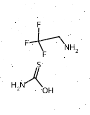 NC(O)=S.NCC(F)(F)F